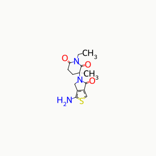 CCN1C(=O)CC[C@](C)(N2Cc3c(csc3N)C2=O)C1=O